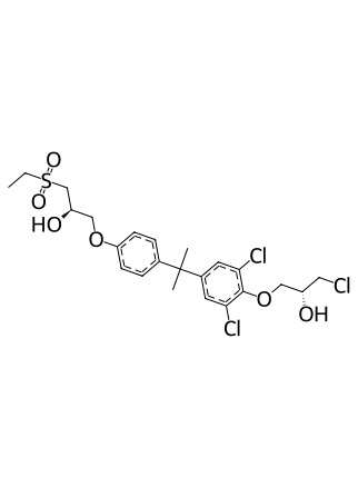 CCS(=O)(=O)C[C@H](O)COc1ccc(C(C)(C)c2cc(Cl)c(OC[C@@H](O)CCl)c(Cl)c2)cc1